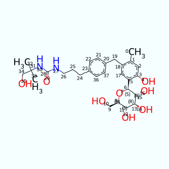 Cc1cc(O)c([C@@H]2O[C@H](CO)[C@@H](O)[C@H](O)[C@H]2O)cc1Cc1ccc(CCCNC(=O)NC(C)(C)CO)cc1